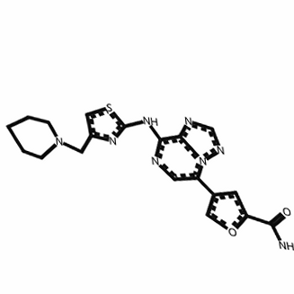 NC(=O)c1cc(-c2cnc(Nc3nc(CN4CCCCC4)cs3)c3ncnn23)co1